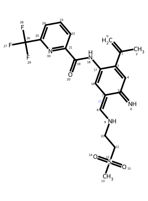 C=C(C)C1=CC(=N)/C(=C\NCCS(C)(=O)=O)C=C1NC(=O)c1cccc(C(F)(F)F)n1